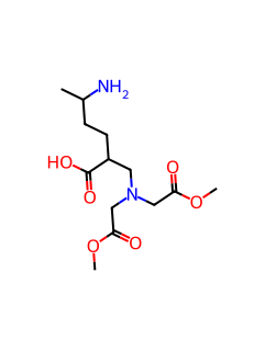 COC(=O)CN(CC(=O)OC)CC(CCC(C)N)C(=O)O